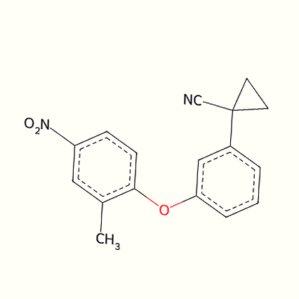 Cc1cc([N+](=O)[O-])ccc1Oc1cccc(C2(C#N)CC2)c1